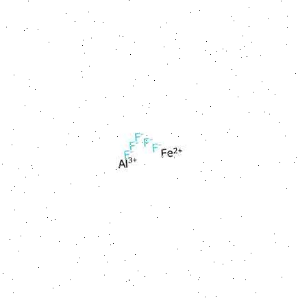 [Al+3].[F-].[F-].[F-].[F-].[F-].[Fe+2]